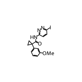 COc1cccc(C2(C(=O)Nc3ccc(I)nn3)CC2)c1